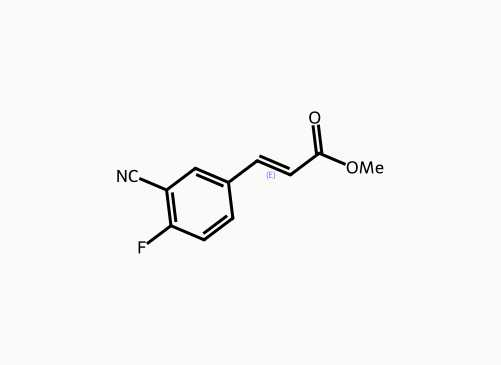 COC(=O)/C=C/c1ccc(F)c(C#N)c1